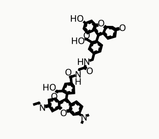 CC/N=c1\ccc2c(-c3ccc(C(=O)NCC(=O)NCc4ccc(-c5c6ccc(=O)cc-6oc6cc(O)ccc56)c(C(=O)O)c4)cc3C(=O)O)c3ccc(N(C)C)cc3oc-2c1